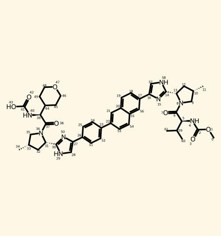 COC(=O)N[C@H](C(=O)N1C[C@@H](C)C[C@H]1c1nc(-c2ccc3cc(-c4ccc(-c5c[nH]c([C@@H]6C[C@H](C)CN6C(=O)[C@@H](NC(=O)O)C6CCOCC6)n5)cc4)ccc3c2)c[nH]1)C(C)C